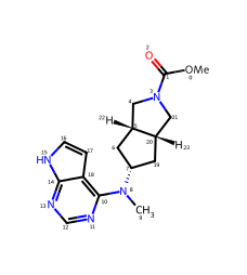 COC(=O)N1C[C@H]2C[C@@H](N(C)c3ncnc4[nH]ccc34)C[C@H]2C1